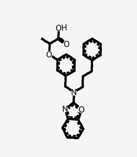 CC(Oc1cccc(CN(CCCc2ccccc2)c2nc3ccccc3o2)c1)C(=O)O